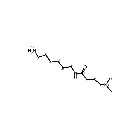 CN(C)CCCC(=O)NCCCCCCN